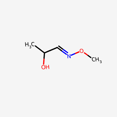 CO/N=C/C(C)O